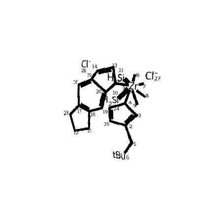 CC(C)(C)CC1=C[CH]([Zr]([CH3])([CH3])([CH3])([CH3])(=[SiH2])(=[SiH2])[CH]2C=Cc3cc4c(cc32)CCC4)C=C1.[Cl-].[Cl-]